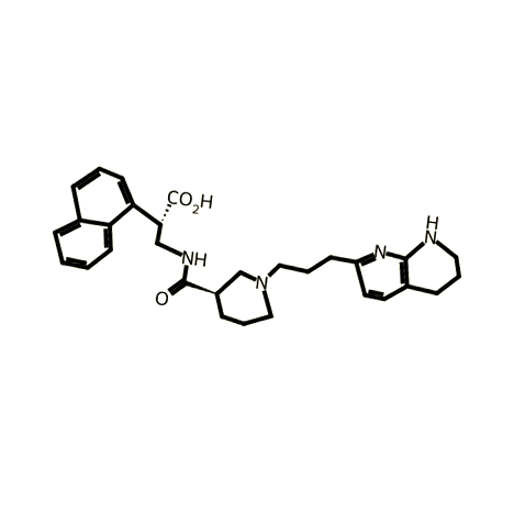 O=C(NC[C@@H](C(=O)O)c1cccc2ccccc12)[C@@H]1CCCN(CCCc2ccc3c(n2)NCCC3)C1